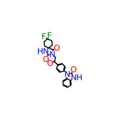 O=C(CN1C(=O)NC2(CCC(F)(F)CC2)C1=O)c1ccc(-n2c(=O)[nH]c3ccccc32)cc1